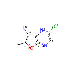 Cc1oc2ncc(Cl)nc2c1I